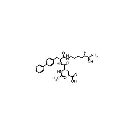 CC(=O)N[C@@H](CCC(=O)O)C(=O)N[C@@H](Cc1ccc(-c2ccccc2)cc1)C(=O)NCCCCNC(=N)N